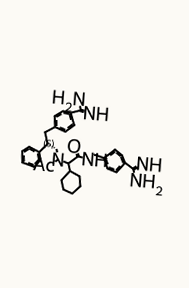 CC(=O)N(C[C@@H](Cc1ccc(C(=N)N)cc1)c1ccccc1)C(C(=O)NCc1ccc(C(=N)N)cc1)C1CCCCC1